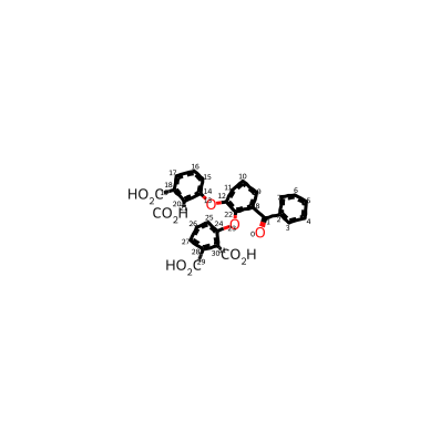 O=C(c1ccccc1)c1cccc(Oc2cccc(C(=O)O)c2C(=O)O)c1Oc1cccc(C(=O)O)c1C(=O)O